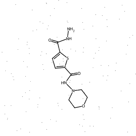 NNC(=O)c1ccc(C(=O)NN2CCOCC2)s1